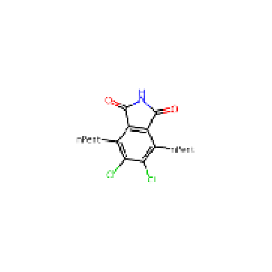 CCCCCc1c(Cl)c(Cl)c(CCCCC)c2c1C(=O)NC2=O